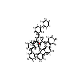 c1ccc(-c2cccc(-c3nc(-c4cccc(-c5ccccc5)c4)nc(-n4c5c(c6ccc7c8ccccc8n(-c8ccccc8)c7c64)CCCC5)n3)c2)cc1